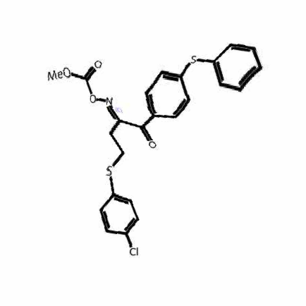 COC(=O)O/N=C(\CCSc1ccc(Cl)cc1)C(=O)c1ccc(Sc2ccccc2)cc1